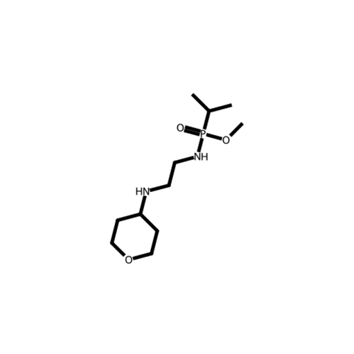 COP(=O)(NCCNC1CCOCC1)C(C)C